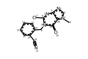 Cn1cnc2nc(Cl)n(Cc3ccccc3C#N)c(=O)c21